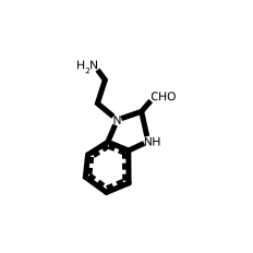 NCCN1c2ccccc2NC1C=O